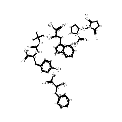 CC(C)(C)OC(=O)NC(Cc1ccc(O)cc1)C(=O)O.NC(Cc1c[nH]c2ccccc12)C(=O)O.NC(Cc1ccccc1)C(=O)O.O=C(O)[C@H]1CCCN1.O=C1CCC(=O)N1O